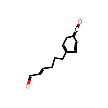 O=C=C1C=CC(CCC/C=C/C=O)=CC1